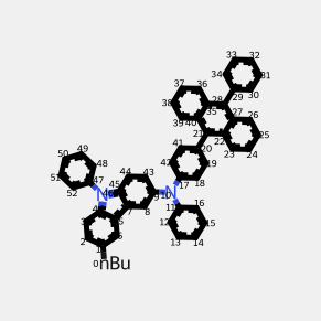 CCCCc1ccc2c(c1)c1cc(N(c3ccccc3)c3ccc(-c4c5ccccc5c(-c5ccccc5)c5ccccc45)cc3)ccc1n2-c1ccccc1